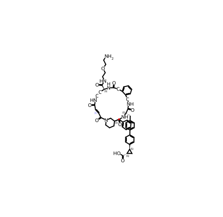 NCCOCCNC(=O)[C@@H]1CCNC(=O)/C=C/C(=O)N2CCC[C@](Cc3ccccc3)(C2)C(=O)N[C@@H](Cc2ccc(-c3ccc([C@H]4C[C@@H]4C(=O)O)cc3)cc2)C(=O)NCc2ccccc2CC(=O)N1